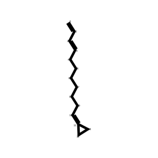 C=CC=CCCCCCCC=C1CC1